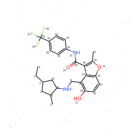 CCC1CC(C)C(NCc2c(O)ccc3oc(C)c(C(=O)Nc4ccc(C(F)(F)F)cc4)c23)C1